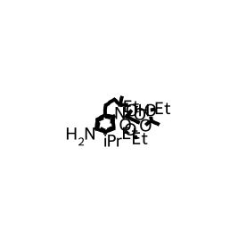 CCOC(C)OC(OCC)(OCC)C(O)(OCC)N1c2cc(C(C)C)c(N)cc2CCC1(C)C